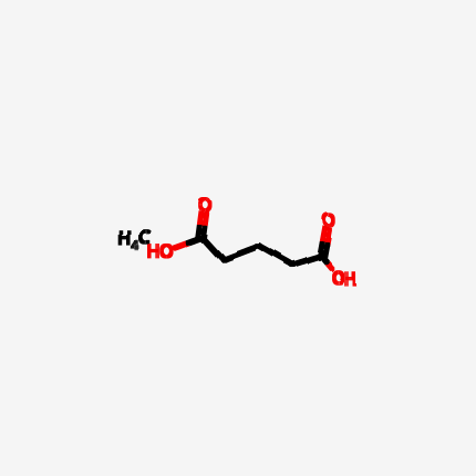 C.O=C(O)CCCC(=O)O